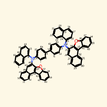 c1ccc2c(N(c3ccc(-c4ccc(N(c5cccc6ccccc56)c5cc6ccccc6c6c5oc5ccccc56)cc4)cc3)c3cc4ccccc4c4c3oc3ccccc34)cccc2c1